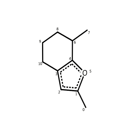 Cc1cc2c(o1)C(C)CCC2